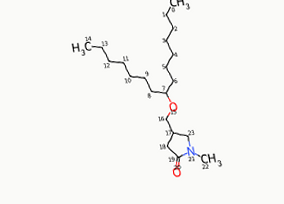 CCCCCCCC(CCCCCCC)OCC1CC(=O)N(C)C1